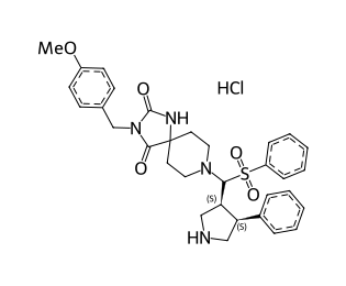 COc1ccc(CN2C(=O)NC3(CCN(C([C@@H]4CNC[C@@H]4c4ccccc4)S(=O)(=O)c4ccccc4)CC3)C2=O)cc1.Cl